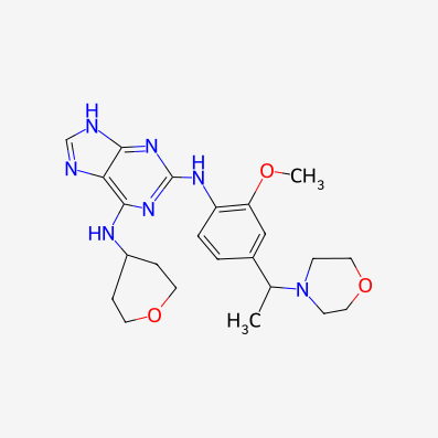 COc1cc(C(C)N2CCOCC2)ccc1Nc1nc(NC2CCOCC2)c2nc[nH]c2n1